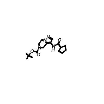 CC(C)(C)OC(=O)N1CCn2ncc(NC(=O)C3CCCC3)c2C1